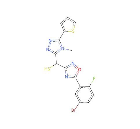 Cn1c(-c2cccs2)nnc1C(S)c1noc(-c2cc(Br)ccc2F)n1